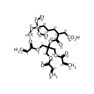 C=CC(=O)OCC(COC(=O)C=C)(COC(=O)C=C)OC(=O)C(CCC[Si](OCC)(OCC)OCC)CC(=O)O